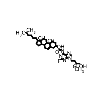 COC(CO)CCn1cnc2c(NC(=O)OC3CCC4(C)C(=CCC5C4CCC4(C)C(CCCCC(C)C)CCC54)C3)nc(F)nc21